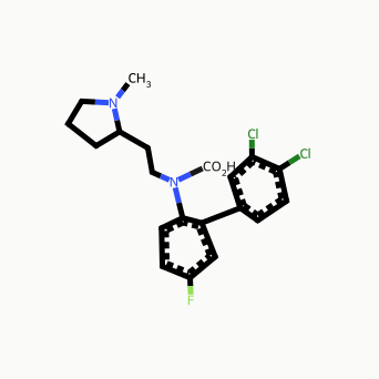 CN1CCCC1CCN(C(=O)O)c1ccc(F)cc1-c1ccc(Cl)c(Cl)c1